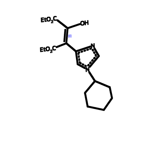 CCOC(=O)/C(O)=C(\C(=O)OCC)c1cn(C2CCCCC2)cn1